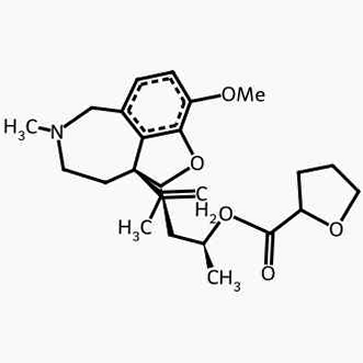 C=C(C)[C@@]12CCN(C)Cc3ccc(OC)c(c31)O[C@H]2C[C@H](C)OC(=O)C1CCCO1